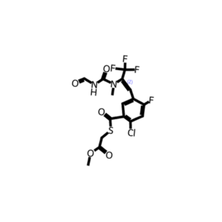 COC(=O)CSC(=O)c1cc(/C=C(\N(C)C(=O)NC=O)C(F)(F)F)c(F)cc1Cl